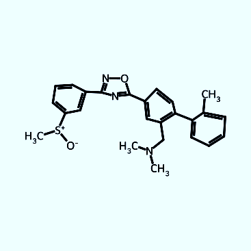 Cc1ccccc1-c1ccc(-c2nc(-c3cccc([S+](C)[O-])c3)no2)cc1CN(C)C